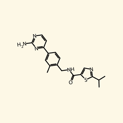 Cc1cc(-c2ccnc(N)n2)ccc1CNC(=O)c1cnc(C(C)C)s1